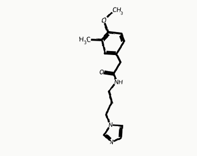 COc1ccc(CC(=O)NCCCn2ccnc2)cc1C